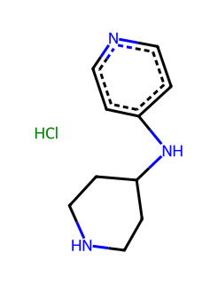 Cl.c1cc(NC2CCNCC2)ccn1